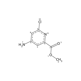 COC(=O)c1cc(N)cc(Cl)n1